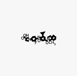 CC1c2ccccc2CCN1C(=O)c1cc(C2CC2)c2nc(-c3ccc(N4CC[C@H](C(=O)O)C4)cc3F)oc2c1